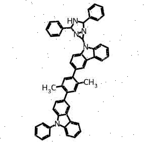 Cc1cc(-c2ccc3c(c2)c2ccccc2n3C2N3C(c4ccccc4)NC(c4ccccc4)N23)c(C)cc1-c1ccc2c(c1)c1ccccc1n2-c1ccccc1